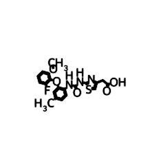 COc1cccc(F)c1Oc1cc(C)ccc1NC(=O)Nc1nc(CC(=O)O)cs1